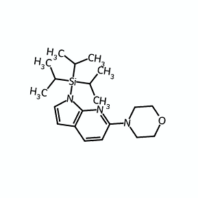 CC(C)[Si](C(C)C)(C(C)C)n1ccc2ccc(N3CCOCC3)nc21